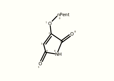 CCCCCOC1=CC(=O)NC1=O